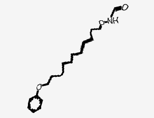 O=CNOCCCCCCCCCCCOc1ccccc1